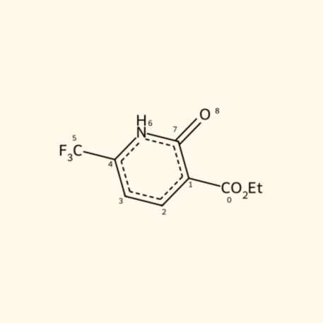 CCOC(=O)c1ccc(C(F)(F)F)[nH]c1=O